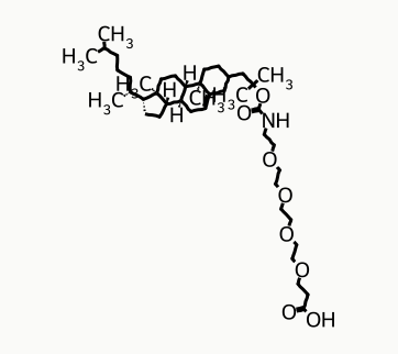 CC(C)CCC[C@@H](C)[C@H]1CC[C@H]2[C@@H]3CC=C4CC(CC(C)(C)OC(=O)NCCOCCOCCOCCOCCC(=O)O)CC[C@]4(C)[C@H]3CC[C@]12C